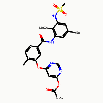 CNC(=O)Oc1cc(Oc2cc(C(=O)Nc3cc(C(C)(C)C)cc(NS(C)(=O)=O)c3OC)ccc2C)ncn1